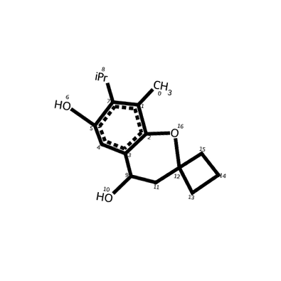 Cc1c2c(cc(O)c1C(C)C)C(O)CC1(CCC1)O2